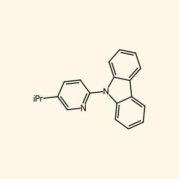 CC(C)c1ccc(-n2c3ccccc3c3ccccc32)nc1